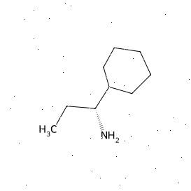 CC[C@@H](N)C1CCCCC1